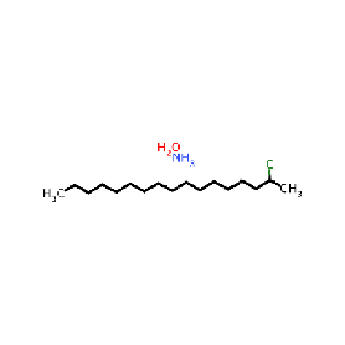 CCCCCCCCCCCCCCCC(C)Cl.N.O